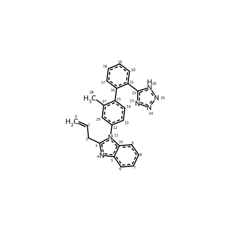 C=CCc1nc2ccccc2n1-c1ccc(-c2ccccc2-c2nnn[nH]2)c(C)c1